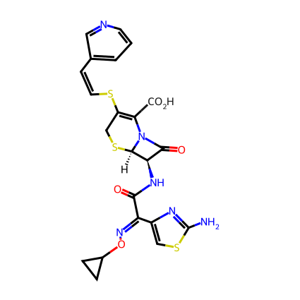 Nc1nc(/C(=N\OC2CC2)C(=O)N[C@@H]2C(=O)N3C(C(=O)O)=C(S/C=C\c4cccnc4)CS[C@H]23)cs1